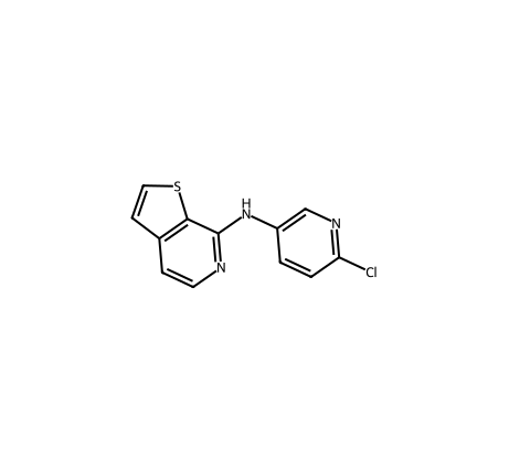 Clc1ccc(Nc2nccc3ccsc23)cn1